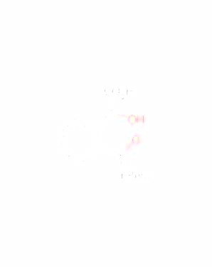 CCCCCC(=O)c1ccccc1C(O)C(=O)O